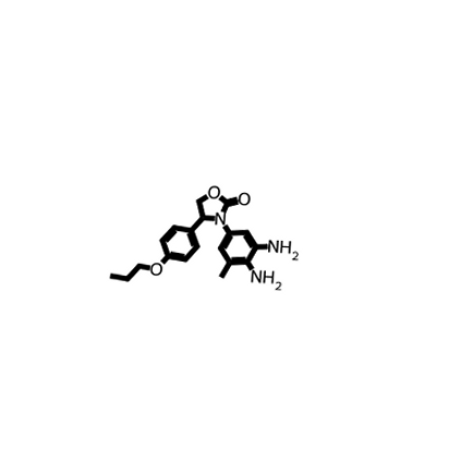 CCCOc1ccc(C2COC(=O)N2c2cc(C)c(N)c(N)c2)cc1